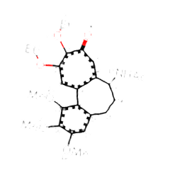 CCOc1cc2c(cc(=O)c1OCC)[C@@H](NC(C)=O)CCc1cc(OC)c(OC)c(OC)c1-2